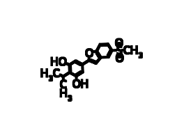 CC(C)c1c(O)cc(-c2cc3cc(S(C)(=O)=O)ccc3o2)cc1O